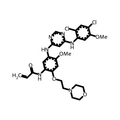 C=CC(=O)Nc1cc(Nc2cc(Nc3cc(OC)c(Cl)cc3Cl)ncn2)c(OC)cc1OCCN1CCOCC1